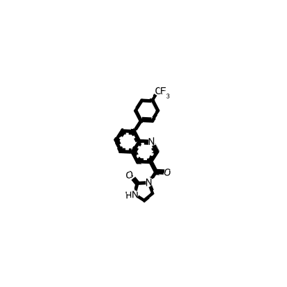 O=C1NCCN1C(=O)c1cnc2c(C3=CCC(C(F)(F)F)CC3)cccc2c1